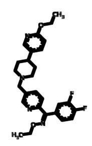 CCON=C(c1ccc(F)c(F)c1)c1ccc(CN2CCC(c3ccc(OCC)nc3)CC2)cn1